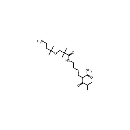 CC(C)C(=O)C(CCCCNC(=O)C(C)(C)COC(C)(C)CCN)C(N)=O